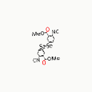 [C-]#[N+]c1ccc([Se][Se]c2ccc([N+]#[C-])c(C(=O)OC)c2)cc1C(=O)OC